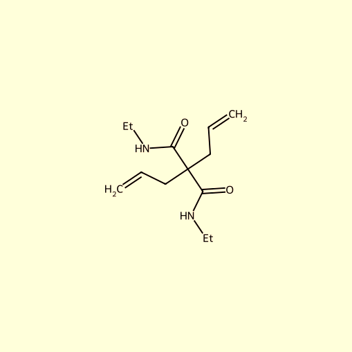 C=CCC(CC=C)(C(=O)NCC)C(=O)NCC